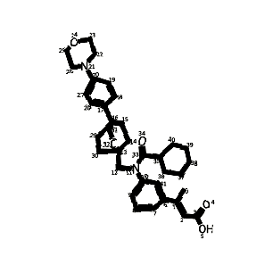 C/C(=C\C(=O)O)c1cccc(N(CC23CCC(c4ccc(N5CCOCC5)cc4)(CC2)CC3)C(=O)C2CCCCC2)c1